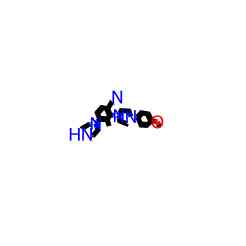 COc1ccc(N2CCN(c3c(C#N)ccc(N4CCNCC4)c3C)CC2)cc1